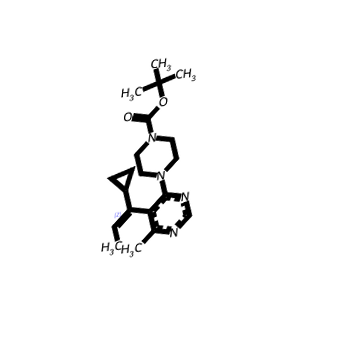 C/C=C(\c1c(C)ncnc1N1CCN(C(=O)OC(C)(C)C)CC1)C1CC1